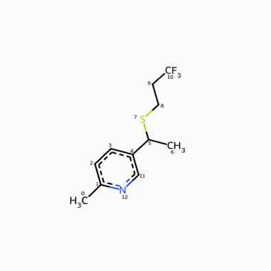 Cc1ccc(C(C)SCCC(F)(F)F)cn1